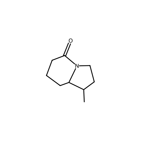 CC1CCN2C(=O)CCCC12